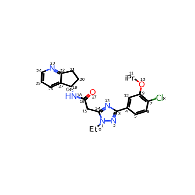 CCn1nc(-c2ccc(Cl)c(OC(C)C)c2)nc1CC(=O)N[C@H]1CCc2ncccc21